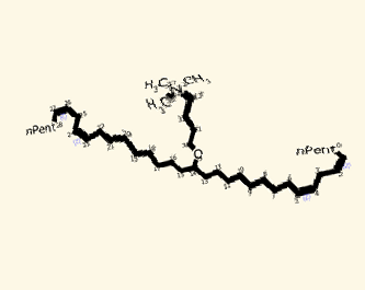 CCCCC/C=C\C/C=C\CCCCCCCCC(CCCCCCCC/C=C\C/C=C\CCCCC)OCCCC[N+](C)(C)C